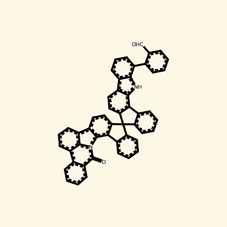 O=Cc1ccccc1-c1cccc2c1[nH]c1c3c(ccc12)C1(c2ccccc2-3)c2ccccc2-c2c1ccc1c3cccc4c5ccccc5c(=O)n(c21)c43